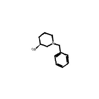 O=N[C@H]1CCCN(Cc2ccccc2)C1